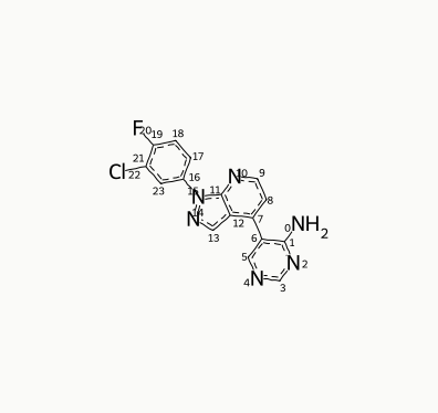 Nc1ncncc1-c1ccnc2c1cnn2-c1ccc(F)c(Cl)c1